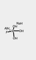 O[Si](O)(O)F.[AlH3].[NaH]